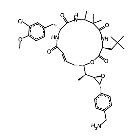 COc1ccc(C[C@H]2NC(=O)/C=C/C[C@@H]([C@H](C)[C@H]3O[C@@H]3c3ccc(CN)cc3)OC(=O)[C@H](CC(C)(C)C)NC(=O)C(C)(C)C(C)NC2=O)cc1Cl